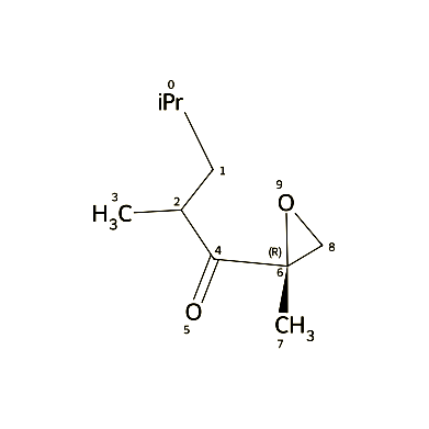 CC(C)CC(C)C(=O)[C@@]1(C)CO1